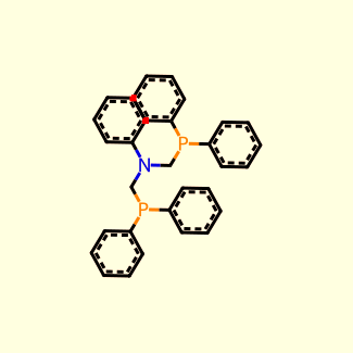 c1ccc(N(CP(c2ccccc2)c2ccccc2)CP(c2ccccc2)c2ccccc2)cc1